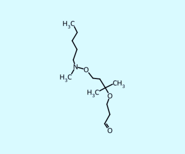 CCCCCN(C)OCCC(C)(C)OCCC=O